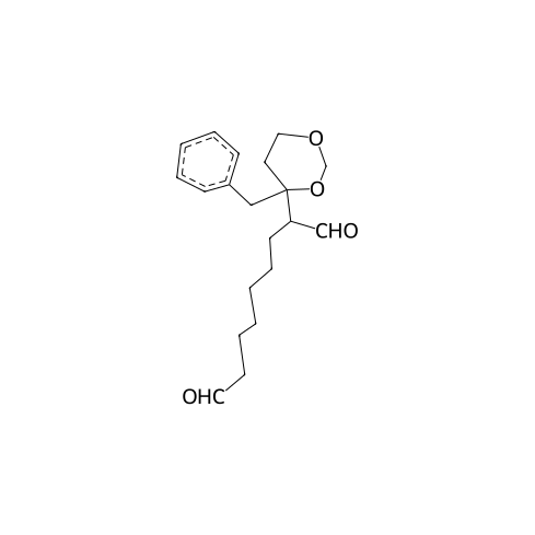 O=CCCCCCCC(C=O)C1(Cc2ccccc2)CCOCO1